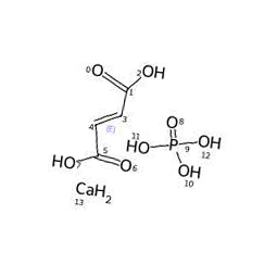 O=C(O)/C=C/C(=O)O.O=P(O)(O)O.[CaH2]